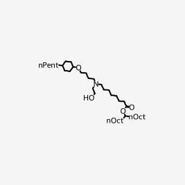 CCCCCCCCC(CCCCCCCC)OC(=O)CCCCCCCN(CCO)CCCCOC1CCC(CCCCC)CC1